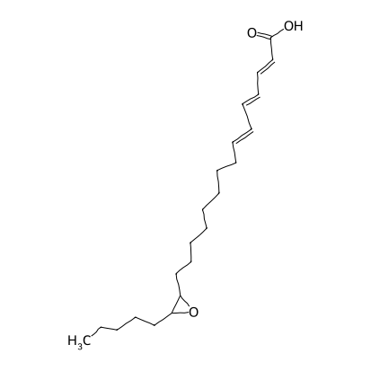 CCCCCC1OC1CCCCCCCCC=CC=CC=CC(=O)O